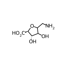 NCC1O[C@H](C(=O)O)[C@@H](O)C1O